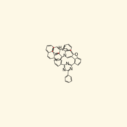 C=C/C=c1/oc2cccc(-c3nc(-c4ccccc4)nc(-c4ccccc4)n3)c2/c1=C/N(c1ccc2ccc3ccccc3c2c1)c1ccccc1-c1ccccc1